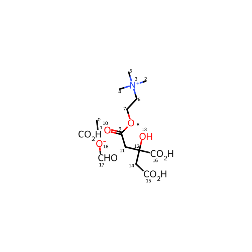 CC(=O)O.C[N+](C)(C)CCOC(=O)CC(O)(CC(=O)O)C(=O)O.O=C[O-]